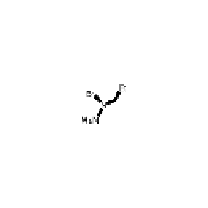 CCCN(Br)NC